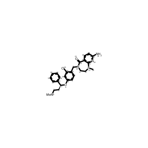 CNCC[C@H](Oc1ccc(CN2CCN(C)c3nc(N)ccc3C2=O)c(Cl)c1)c1ccccc1